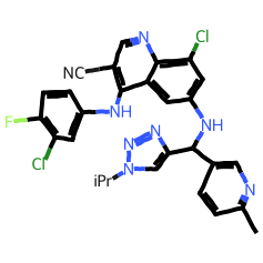 Cc1ccc(C(Nc2cc(Cl)c3ncc(C#N)c(Nc4ccc(F)c(Cl)c4)c3c2)c2cn(C(C)C)nn2)cn1